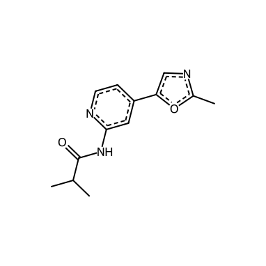 Cc1ncc(-c2ccnc(NC(=O)C(C)C)c2)o1